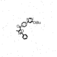 Cc1nc(-c2ccccc2)oc1C(=O)N1CCN(c2cc(OCC(C)C)ncn2)CC1